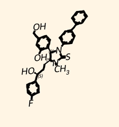 CN1C(=S)N(c2ccc(-c3ccccc3)cc2)[C@H](c2ccc(CO)cc2O)[C@@H]1CC[C@H](O)c1ccc(F)cc1